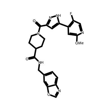 COc1cc(-c2cc(C(=O)N3CCC(C(=O)NCc4ccc5ncoc5c4)CC3)n[nH]2)c(F)cn1